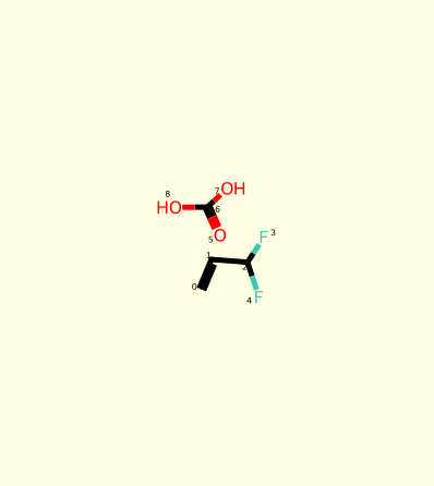 C=CC(F)F.O=C(O)O